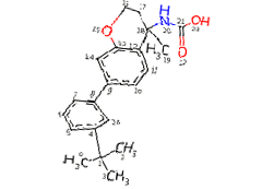 CC(C)(C)c1cccc(-c2ccc3c(c2)OCCC3(C)NC(=O)O)c1